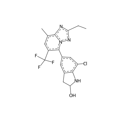 CCc1nc2c(C)cc(C(F)(F)F)c(-c3cc(Cl)c4c(c3)CC(O)N4)n2n1